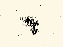 CCC(C)(N)CNC(=O)c1c(C)nc2c(OCc3c(F)cccc3F)cc(C(F)F)cn12